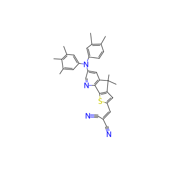 Cc1ccc(N(c2cc(C)c(C)c(C)c2)c2cnc3c(c2)C(C)(C)c2cc(C=C(C#N)C#N)sc2-3)cc1C